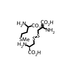 CSCCC(N)C(=O)O.NC(CSSC[C@H](N)C(=O)O)C(=O)O